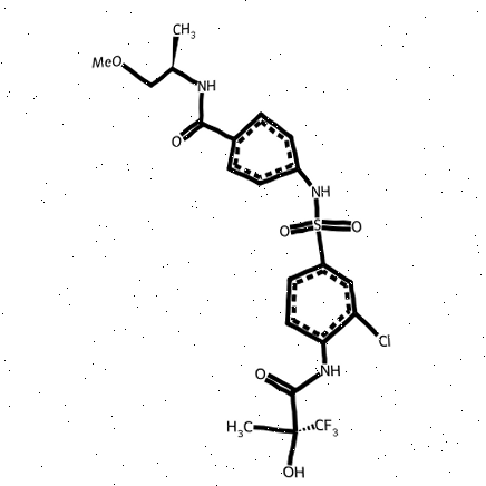 COC[C@@H](C)NC(=O)c1ccc(NS(=O)(=O)c2ccc(NC(=O)[C@](C)(O)C(F)(F)F)c(Cl)c2)cc1